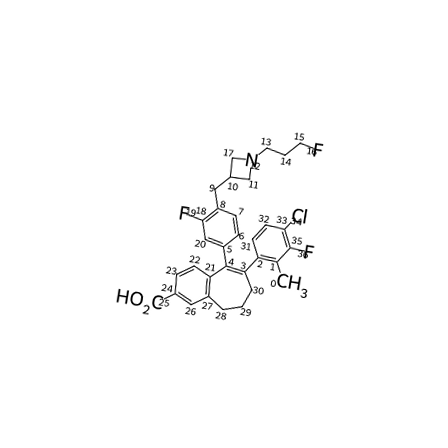 Cc1c(C2=C(c3ccc(CC4CN(CCCF)C4)c(F)c3)c3ccc(C(=O)O)cc3CCC2)ccc(Cl)c1F